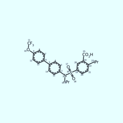 CCCN(c1ccc(-c2ccc(OC(F)(F)F)cc2)cc1)S(=O)(=O)c1ccc(C(C)C)c(C(=O)O)c1